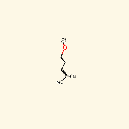 CCOCCC=C(C#N)C#N